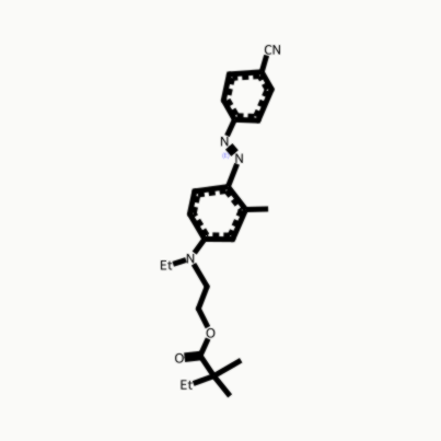 CCN(CCOC(=O)C(C)(C)CC)c1ccc(/N=N/c2ccc(C#N)cc2)c(C)c1